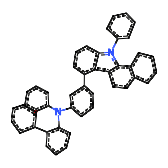 c1ccc(-c2ccccc2N(c2ccccc2)c2cccc(-c3cccc4c3c3ccc5ccccc5c3n4-c3ccccc3)c2)cc1